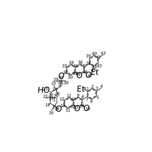 CCc1cc(C)ccc1-c1cc2ccc(OC(C)(C)CC(C)(C)C(O)C(C)(C)CC(C)(C)Oc3ccc4cc(-c5ccc(C)cc5CC)c(=O)oc4c3)cc2oc1=O